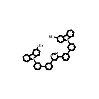 CC(C)(C)c1ccc2c(c1)c1ccccc1n2-c1cccc(-c2cccc(-c3cc(-c4cccc(-c5cccc(-n6c7ccccc7c7cc(C(C)(C)C)ccc76)c5)c4)ncn3)c2)c1